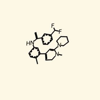 C=C(Nc1ccc(C)c(C2=CCN(C)C(N3CCCCC3)=C2)c1)c1cccc(C(F)F)c1